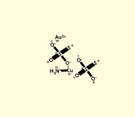 O=S([O-])([O-])=S.O=S([O-])([O-])=S.[Au+3].[NH3+][Cu]